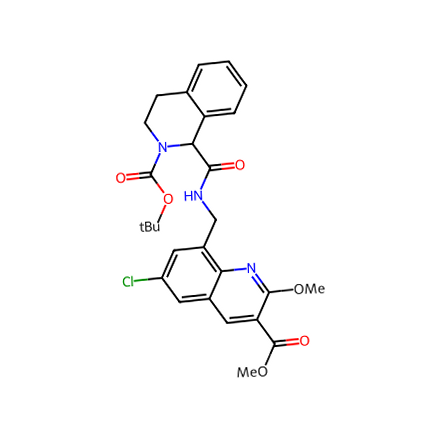 COC(=O)c1cc2cc(Cl)cc(CNC(=O)C3c4ccccc4CCN3C(=O)OC(C)(C)C)c2nc1OC